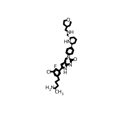 C[C@H](N)CCCc1cc(Cl)c(F)c(-c2cc3cn(-c4ccc([C@@H]5CCC[C@@H](CNCC6CCOCC6)N5)cc4)c(=O)nc3[nH]2)c1